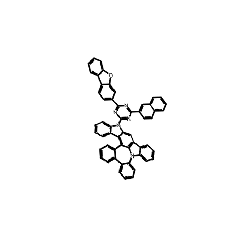 c1ccc2c(c1)-c1ccccc1-n1c3ccccc3c3cc4c(c-2c31)c1ccccc1n4-c1nc(-c2ccc3ccccc3c2)nc(-c2ccc3c(c2)oc2ccccc23)n1